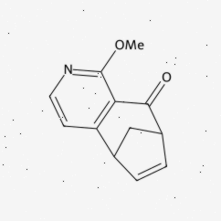 COc1nccc2c1C(=O)C1C=CC2C1